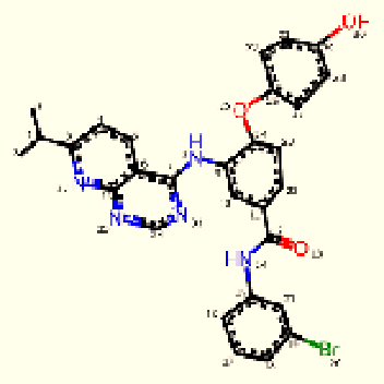 CC(C)c1ccc2c(Nc3cc(C(=O)Nc4cccc(Br)c4)ccc3Oc3ccc(O)cc3)ncnc2n1